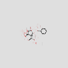 COC(=O)C1=COC(=O)[C@H]2[C@@H]1[C@H](OC(=O)c1ccccc1Br)C(=O)[C@]2(C)O